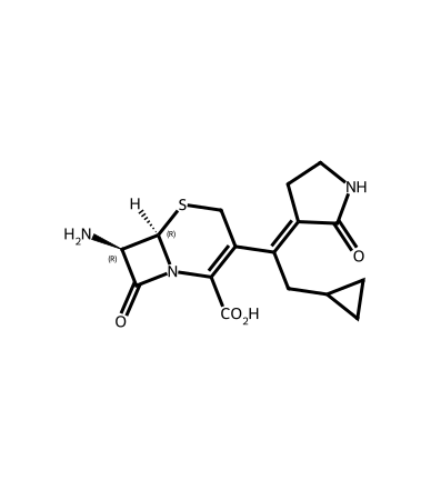 N[C@@H]1C(=O)N2C(C(=O)O)=C(C(CC3CC3)=C3CCNC3=O)CS[C@H]12